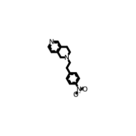 O=[N+]([O-])c1ccc(CCN2CCc3cnccc3C2)cc1